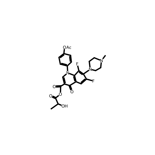 CC(=O)Oc1ccc(-n2cc(C(=O)OC(=O)C(C)O)c(=O)c3cc(F)c(N4CCN(C)CC4)c(F)c32)cc1